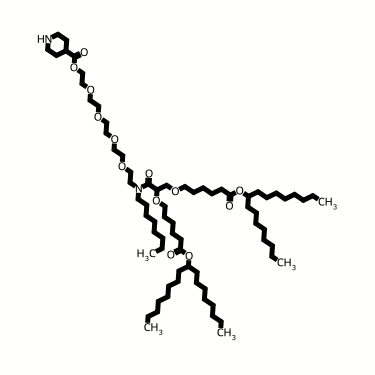 CCCCCCCCC(CCCCCCCC)OC(=O)CCCCCOCC(OCCCCCC(=O)OC(CCCCCCCC)CCCCCCCC)C(=O)N(CCCCCCCC)CCOCCOCCOCCOCCOC(=O)C1CCNCC1